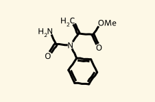 C=C(C(=O)OC)N(C(N)=O)c1ccccc1